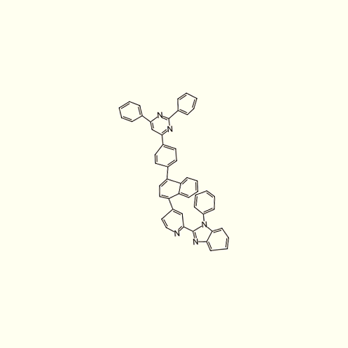 c1ccc(-c2cc(-c3ccc(-c4ccc(-c5ccnc(-c6nc7ccccc7n6-c6ccccc6)c5)c5ccccc45)cc3)nc(-c3ccccc3)n2)cc1